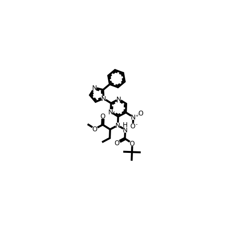 CCC(C(=O)OC)N(NC(=O)OC(C)(C)C)c1nc(-n2ccnc2-c2ccccc2)ncc1[N+](=O)[O-]